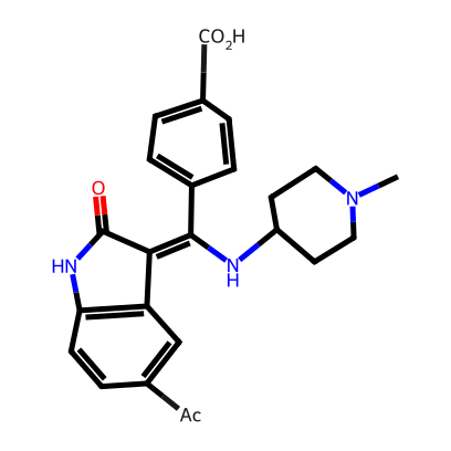 CC(=O)c1ccc2c(c1)C(=C(NC1CCN(C)CC1)c1ccc(C(=O)O)cc1)C(=O)N2